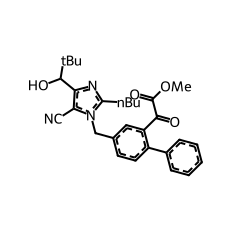 CCCCc1nc(C(O)C(C)(C)C)c(C#N)n1Cc1ccc(-c2ccccc2)c(C(=O)C(=O)OC)c1